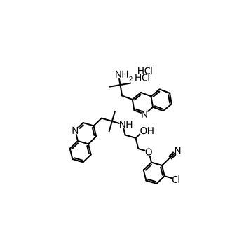 CC(C)(Cc1cnc2ccccc2c1)NCC(O)COc1cccc(Cl)c1C#N.CC(C)(N)Cc1cnc2ccccc2c1.Cl.Cl